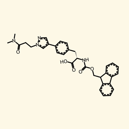 CN(C)C(=O)CCn1cc(-c2ccc(C[C@H](NC(=O)OCC3c4ccccc4-c4ccccc43)C(=O)O)cc2)cn1